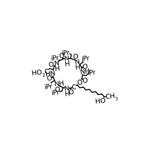 CC(C)CC1NC(=O)CC(CCCCCCCCC(C)O)OC(=O)C(CC(C)C)NC(=O)C(CC(C)C)NC(=O)C(CC(C)C)NC(=O)C(C(C)C)NC(=O)C(CC(=O)O)NC(=O)C(CC(C)C)NC1=O